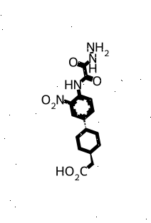 NNC(=O)C(=O)Nc1ccc([C@H]2CC[C@H](CC(=O)O)CC2)cc1[N+](=O)[O-]